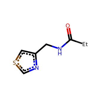 CCC(=O)NCc1cscn1